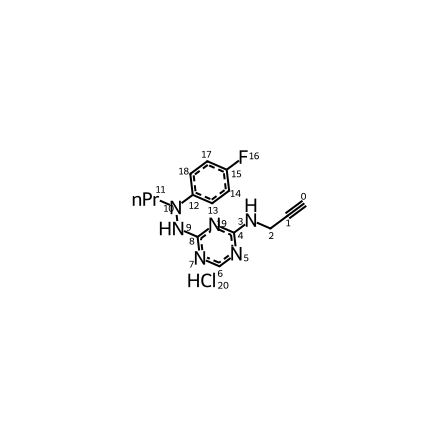 C#CCNc1ncnc(NN(CCC)c2ccc(F)cc2)n1.Cl